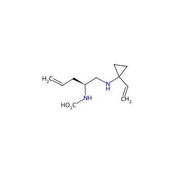 C=CC[C@@H](CNC1(C=C)CC1)NC(=O)O